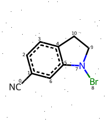 N#Cc1ccc2c(c1)N(Br)CC2